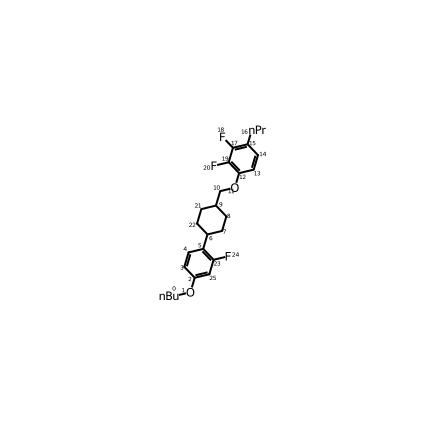 CCCCOc1ccc(C2CCC(COc3ccc(CCC)c(F)c3F)CC2)c(F)c1